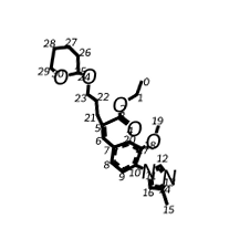 CCOC(=O)C(=Cc1ccc(-n2cnc(C)c2)c(OC)c1)CCCOC1CCCCO1